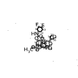 COC(=O)[C@@H]1C[C@H](OC(=O)Nc2ccc(F)c(F)c2)C(=O)[C@H]2[C@@]1(C)CC[C@H]1C(=O)O[C@H](c3ccoc3)C[C@]21C